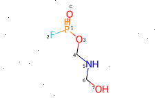 O=[PH](F)OCNCO